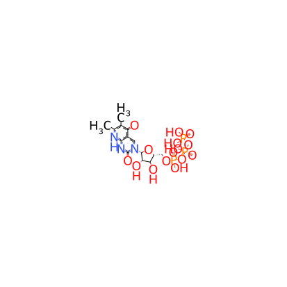 Cc1[nH]c2nc(=O)n([C@@H]3O[C@H](COP(=O)(O)OP(=O)(O)OP(=O)(O)O)C(O)[C@@H]3O)cc2c(=O)c1C